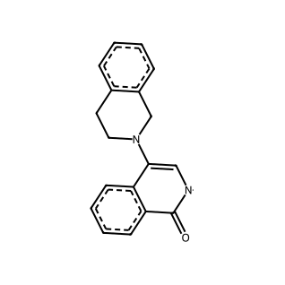 O=C1[N]C=C(N2CCc3ccccc3C2)c2ccccc21